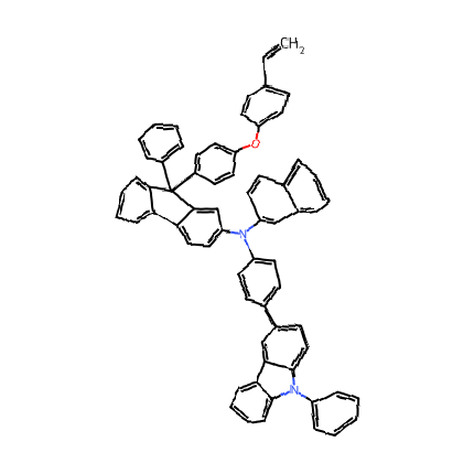 C=Cc1ccc(Oc2ccc(C3(c4ccccc4)c4ccccc4-c4ccc(N(c5ccc(-c6ccc7c(c6)c6ccccc6n7-c6ccccc6)cc5)c5ccc6ccccc6c5)cc43)cc2)cc1